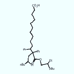 CCCCC(CC)COC(=O)C(CC(CC)CCCC)(C(C)C)C(CCCCCCCCCC(=O)O)C(C)C